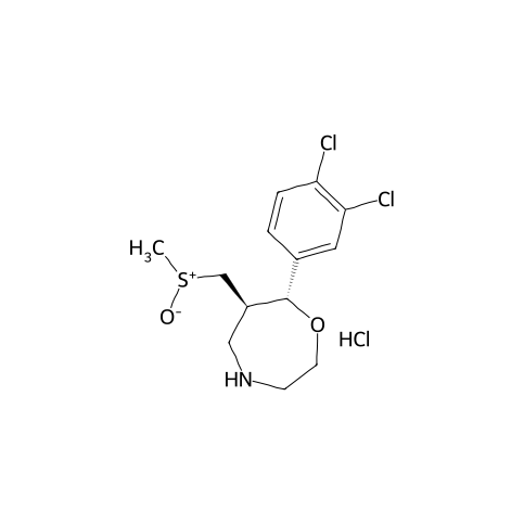 C[S+]([O-])C[C@@H]1CNCCO[C@H]1c1ccc(Cl)c(Cl)c1.Cl